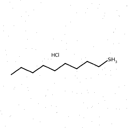 CCCCCCCCC[SiH3].Cl